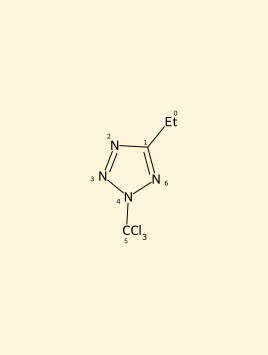 CCc1nnn(C(Cl)(Cl)Cl)n1